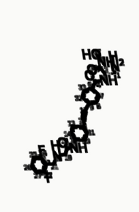 NC[C@H](NC(=O)c1ccc(C#Cc2ccc(NC(=O)CNCc3c(F)cccc3F)cc2)cc1)C(=O)NO